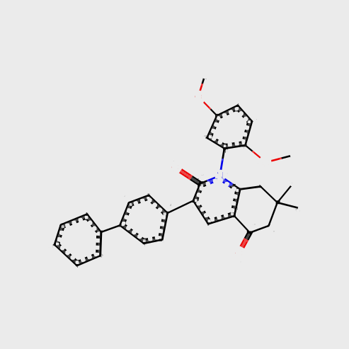 COc1ccc(OC)c(-n2c3c(cc(-c4ccc(-c5ccccc5)cc4)c2=O)C(=O)CC(C)(C)C3)c1